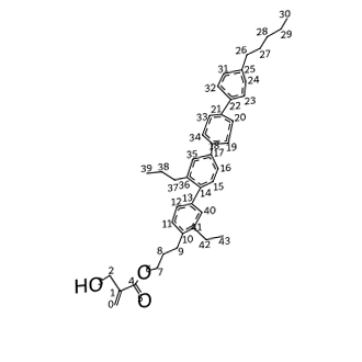 C=C(CO)C(=O)OCCCc1ccc(-c2ccc(-c3ccc(-c4ccc(CCCCC)cc4)cc3)cc2CCC)cc1CC